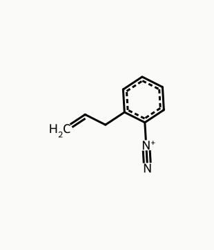 C=CCc1ccccc1[N+]#N